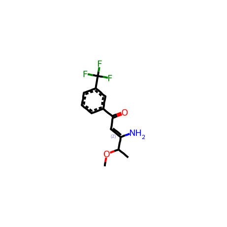 COC(C)/C(N)=C/C(=O)c1cccc(C(F)(F)F)c1